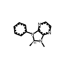 C[C@@H]1N(C)c2nccnc2N1c1ccccc1